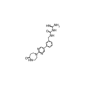 N=C(N)NC(=O)NCc1cccc(-c2cnc(N3CCNC(=O)CC3)nc2)c1